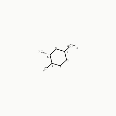 CC1CCC(F)[C@H](F)C1